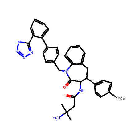 COc1ccc(C2Cc3ccccc3N(Cc3ccc(-c4ccccc4-c4nnn[nH]4)cc3)C(=O)C2NC(=O)CC(C)(C)N)cc1